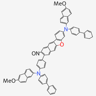 COc1ccc2cc(N(c3ccc(-c4ccccc4)cc3)c3ccc(-c4cc5cc6oc7cc(N(c8ccc(C9=CCCC=C9)cc8)c8ccc9cc(OC)ccc9c8)ccc7c6cc5cc4N=O)cc3)ccc2c1